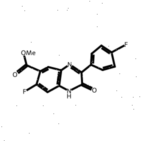 COC(=O)c1cc2nc(-c3ccc(F)cc3)c(=O)[nH]c2cc1F